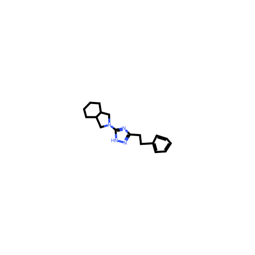 c1ccc(CCc2n[nH]c(N3CC4CCCCC4C3)n2)cc1